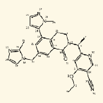 CCOc1cc([C@H](C)N2CCc3c(cc(Cn4ccnc4C)cc3-c3ccnn3C)C2=O)ncc1C#N